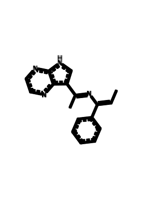 C/C=C(\N=C(/C)c1c[nH]c2nccnc12)c1ccccc1